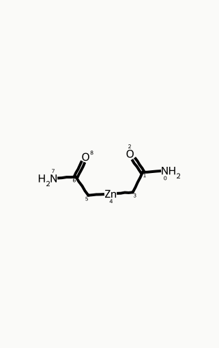 NC(=O)[CH2][Zn][CH2]C(N)=O